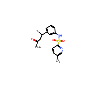 CCC(CC(=O)OC)c1cccc(NS(=O)(=O)c2ccc(C(F)(F)F)cn2)c1